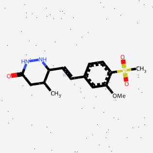 COc1cc(/C=C/C2NNC(=O)CC2C)ccc1S(C)(=O)=O